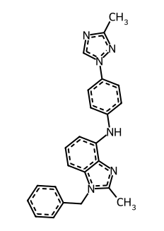 Cc1ncn(-c2ccc(Nc3cccc4c3nc(C)n4Cc3ccccc3)cc2)n1